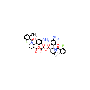 Cc1cccc(F)c1C(=O)N1CCC[C@H](C(=O)OC(=O)C(=O)OC(=O)[C@H]2CCCN(C(=O)c3c(C)cccc3F)[C@H]2c2ccc(N)cc2)[C@@H]1c1ccc(N)cc1